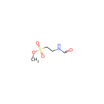 COS(=O)(=O)CCNC=O